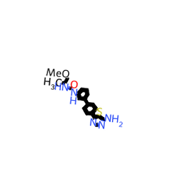 COCC(C)NC(=O)Nc1cccc(-c2ccc3c(c2)sc2c(N)ncnc23)c1